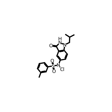 Cc1cccc(S(=O)(=O)N(Cl)c2ccc3c(c2)c(=O)[nH]n3CC(C)C)c1